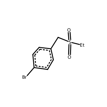 CCS(=O)(=O)Cc1ccc(Br)cc1